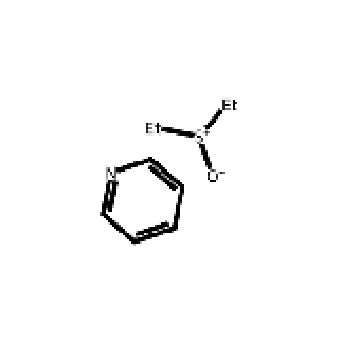 CC[S+]([O-])CC.c1ccncc1